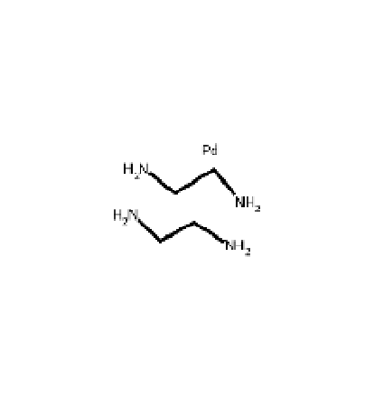 NCCN.NCCN.[Pd]